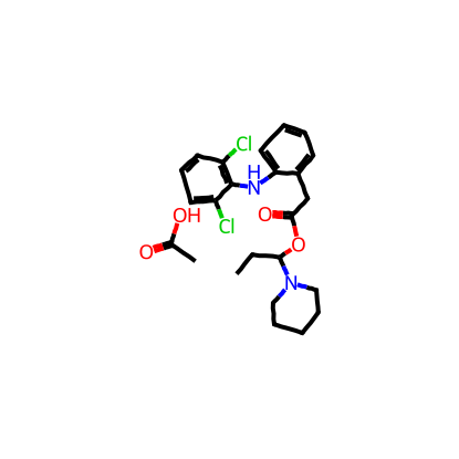 CC(=O)O.CCC(OC(=O)Cc1ccccc1Nc1c(Cl)cccc1Cl)N1CCCCC1